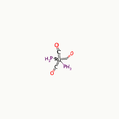 O=[C]=[Ru]([PH2])([PH2])(=[C]=O)=[C]=O